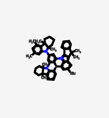 Cc1cc(C)c2c(c1)N(c1cc3c4c(c1)-n1c5c(c6cc(C(C)(C)C)cc(c61)B4c1cccc4c1N3C1(C)CCCCC41C)C(C)(C)c1ccccc1-5)C1(C)CCCCC21C